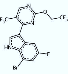 Fc1cc(Br)c2[nH]cc(-c3nc(OCC(F)(F)F)ncc3C(F)(F)F)c2c1